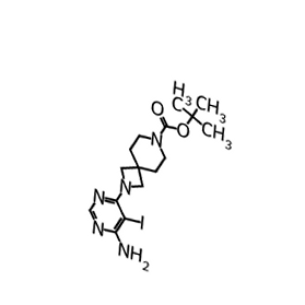 CC(C)(C)OC(=O)N1CCC2(CC1)CN(c1ncnc(N)c1I)C2